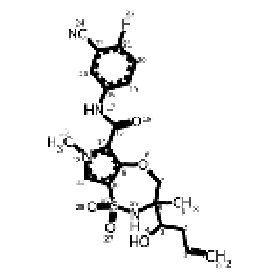 C=CCC(O)C1(C)COc2c(cn(C)c2C(=O)Nc2ccc(F)c(C#N)c2)S(=O)(=O)N1